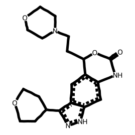 O=C1Nc2cc3[nH]nc(C4CCOCC4)c3cc2C(CCN2CCOCC2)O1